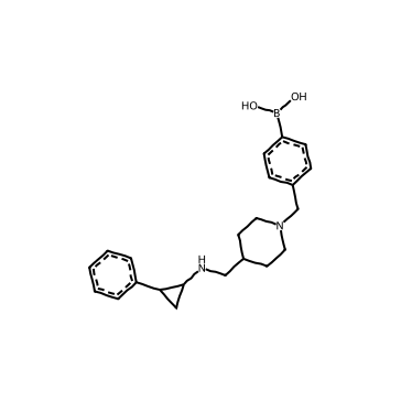 OB(O)c1ccc(CN2CCC(CNC3CC3c3ccccc3)CC2)cc1